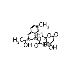 CCC(C)C(=O)O[C@H]1C[C@@H](C(C)O)C=C2C=C[C@H](C)[C@H](CC[C@@H]3C[C@@H](O)CC(=O)O3)[C@H]21